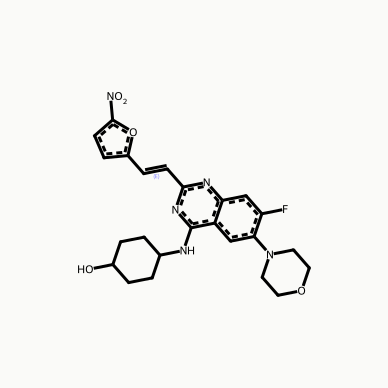 O=[N+]([O-])c1ccc(/C=C/c2nc(NC3CCC(O)CC3)c3cc(N4CCOCC4)c(F)cc3n2)o1